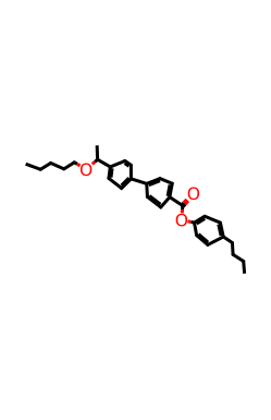 CCCCCOC(C)c1ccc(-c2ccc(C(=O)Oc3ccc(CCCC)cc3)cc2)cc1